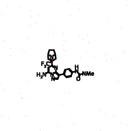 CNC(=O)Nc1ccc(-c2cnn3c(N)cc(C4CC5CCC(C4)N5CC(F)(F)F)nc23)cc1